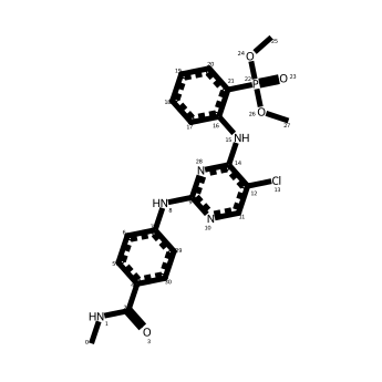 CNC(=O)c1ccc(Nc2ncc(Cl)c(Nc3ccccc3P(=O)(OC)OC)n2)cc1